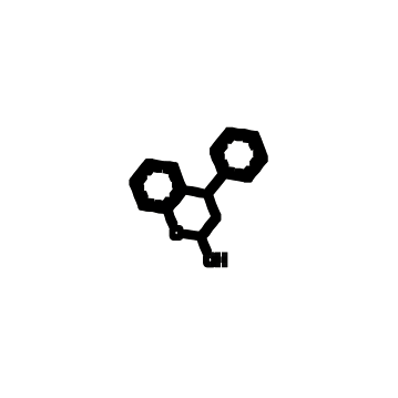 OC1CC(c2ccccc2)c2ccccc2O1